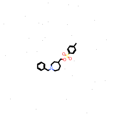 Cc1ccc(S(=O)(=O)OCC2CCCN(Cc3ccccc3)CC2)cc1